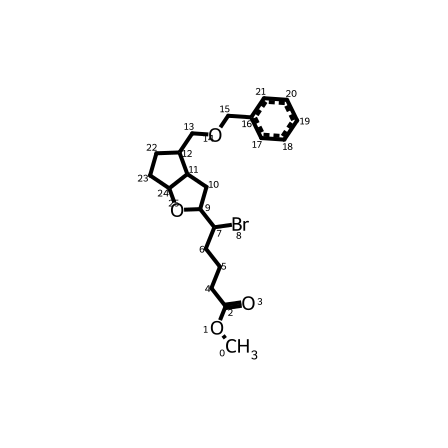 COC(=O)CCCC(Br)C1CC2C(COCc3ccccc3)CCC2O1